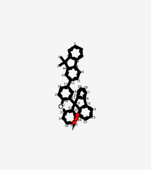 CC1(C)c2ccccc2-c2ccc(-c3ccc4c(c3)C3(c5ccccc5-c5ccccc53)c3c(ccc5ccccc35)O4)cc21